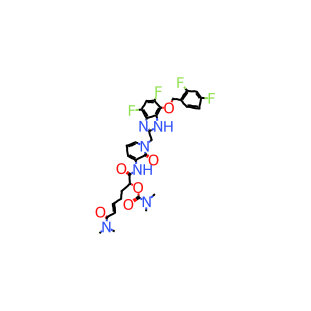 CN(C)C(=O)C=CCCC(OC(=O)N(C)C)C(=O)Nc1cccn(Cc2nc3c(F)cc(F)c(OCc4ccc(F)cc4F)c3[nH]2)c1=O